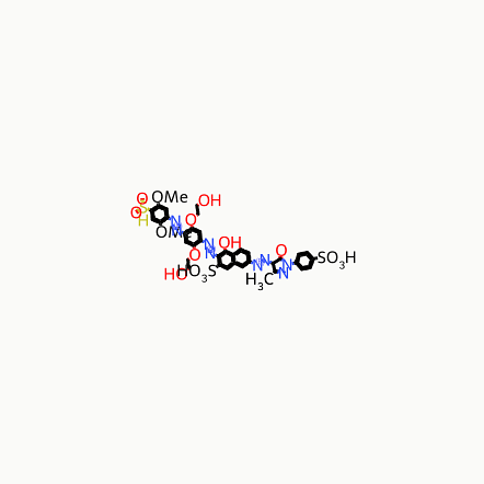 COc1cc([SH](=O)=O)c(OC)cc1/N=N/c1cc(OCCO)c(/N=N/c2c(S(=O)(=O)O)cc3cc(/N=N/C4C(=O)N(c5ccc(S(=O)(=O)O)cc5)N=C4C)ccc3c2O)cc1OCCO